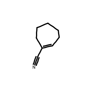 N#CC1=CCCCCC1